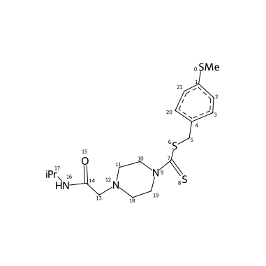 CSc1ccc(CSC(=S)N2CCN(CC(=O)NC(C)C)CC2)cc1